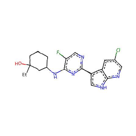 CCC1(O)CCCC(Nc2nc(-c3c[nH]c4ncc(Cl)cc34)ncc2F)C1